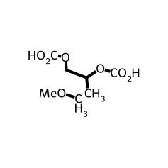 CC(COC(=O)O)OC(=O)O.COC